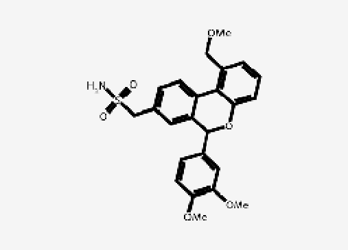 COCc1cccc2c1-c1ccc(CS(N)(=O)=O)cc1C(c1ccc(OC)c(OC)c1)O2